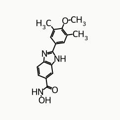 COc1c(C)cc(-c2nc3ccc(C(=O)NO)cc3[nH]2)cc1C